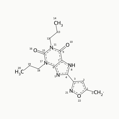 [CH2]c1cc(-c2nc3c([nH]2)c(=O)n(CCC)c(=O)n3CCC)no1